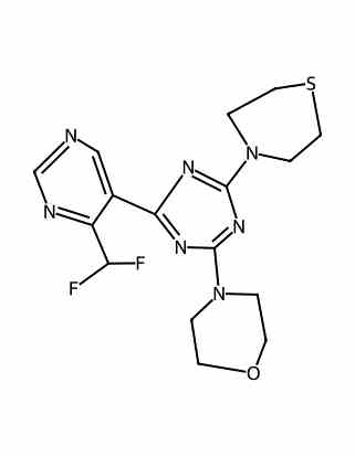 FC(F)c1ncncc1-c1nc(N2CCOCC2)nc(N2CCSCC2)n1